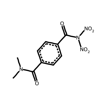 CN(C)C(=O)c1ccc(C(=O)N([N+](=O)[O-])[N+](=O)[O-])cc1